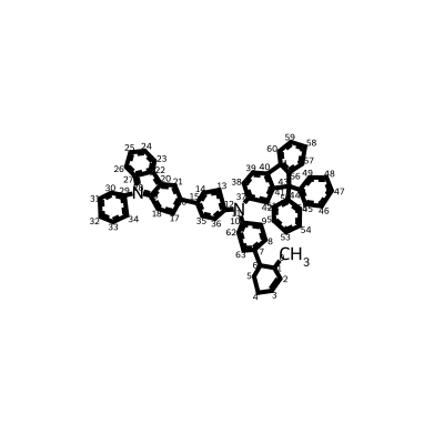 CC1C=CCCC1c1ccc(N(c2ccc(-c3ccc4c(c3)c3ccccc3n4-c3ccccc3)cc2)c2ccc3c(c2)C(c2ccccc2)(c2ccccc2)c2ccccc2-3)cc1